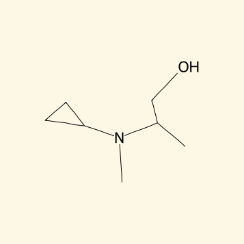 CC(CO)N(C)C1CC1